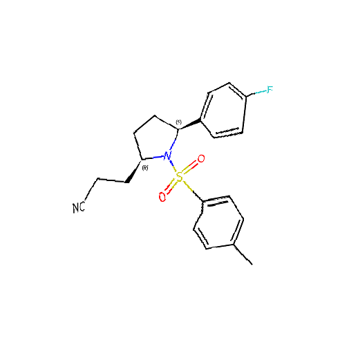 Cc1ccc(S(=O)(=O)N2[C@@H](CCC#N)CC[C@H]2c2ccc(F)cc2)cc1